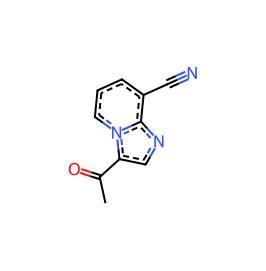 CC(=O)c1cnc2c(C#N)cccn12